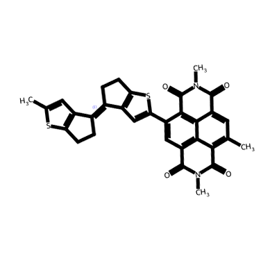 Cc1cc2c(s1)CC/C2=C1/CCc2sc(-c3cc4c5c(c(C)cc6c5c3C(=O)N(C)C6=O)C(=O)N(C)C4=O)cc21